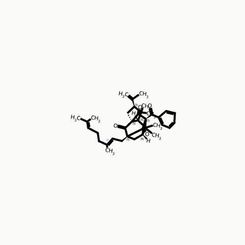 C=C(C)[C@@H]1C[C@@]23C(=O)[C@@]4(C/C=C(\C)CCC=C(C)C)C[C@@H](C[C@H]2C1(C)C)C(C)(C)[C@](C(=O)c1ccccc1)(C4=O)C3=O